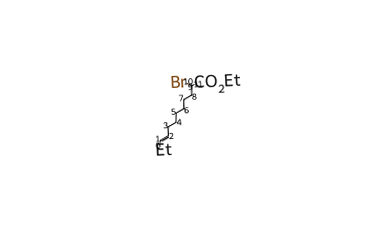 CCC=CCCCCCCC(Br)C(=O)OCC